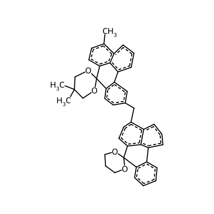 Cc1ccc2c3c(cccc13)-c1cc(Cc3ccc4c5c(cccc35)-c3ccccc3C43OCCCO3)ccc1C21OCC(C)(C)CO1